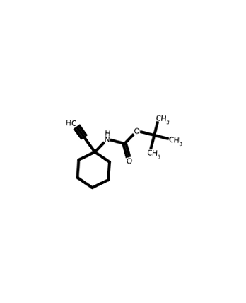 C#CC1(NC(=O)OC(C)(C)C)CCCCC1